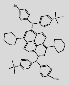 CC(C)(C)c1ccc(N(c2ccc([Si](C)(C)C)cc2)c2cc(C3CCCCC3)c3ccc4c(N(c5ccc(C(C)(C)C)cc5)c5ccc([Si](C)(C)C)cc5)cc(C5CCCCC5)c5ccc2c3c54)cc1